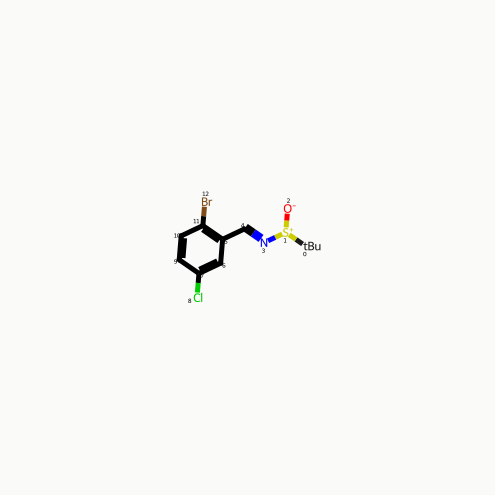 CC(C)(C)[S+]([O-])N=Cc1cc(Cl)ccc1Br